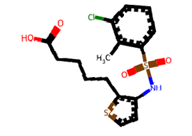 Cc1c(Cl)cccc1S(=O)(=O)Nc1ccsc1CCCCC(=O)O